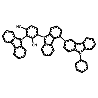 N#Cc1ccc(-n2c3ccccc3c3c(-c4ccc5c(c4)c4ccccc4n5-c4ccccc4)cccc32)c(C#N)c1-n1c2ccccc2c2ccccc21